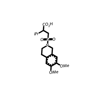 COc1cc2c(cc1OC)CN(S(=O)(=O)CC(C(=O)O)C(C)C)CC2